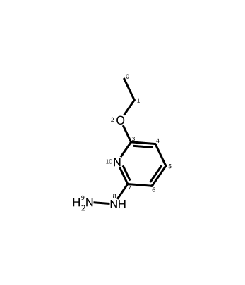 CCOc1cccc(NN)n1